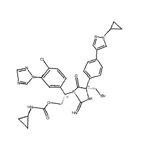 CC(C)(C)C[C@]1(c2ccc(-c3cnn(C4CC4)c3)cc2)NC(=N)N([C@H](COC(=O)NC2CC2)c2ccc(Cl)c(-n3cncn3)c2)C1=O